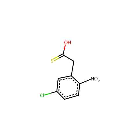 O=[N+]([O-])c1ccc(Cl)cc1CC(O)=S